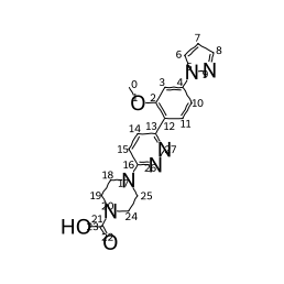 COc1cc(-n2cccn2)ccc1-c1ccc(N2CCN(C(=O)O)CC2)nn1